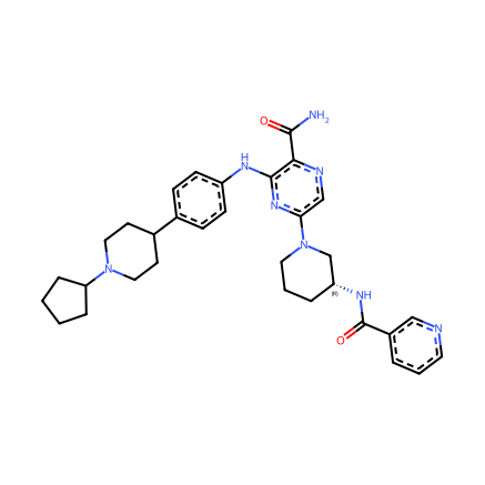 NC(=O)c1ncc(N2CCC[C@@H](NC(=O)c3cccnc3)C2)nc1Nc1ccc(C2CCN(C3CCCC3)CC2)cc1